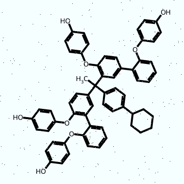 CC(c1ccc(C2CCCCC2)cc1)(c1ccc(Oc2ccc(O)cc2)c(-c2ccccc2Oc2ccc(O)cc2)c1)c1cc(-c2ccccc2Oc2ccc(O)cc2)ccc1Oc1ccc(O)cc1